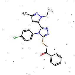 CCn1nc(C)cc1-c1nnc(SCC(=O)c2ccccc2)n1-c1ccc(Cl)cc1